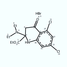 Br.CCOC(=O)C1(N(CC)CC)CC(=O)c2c(Cl)cc(Cl)cc2N1